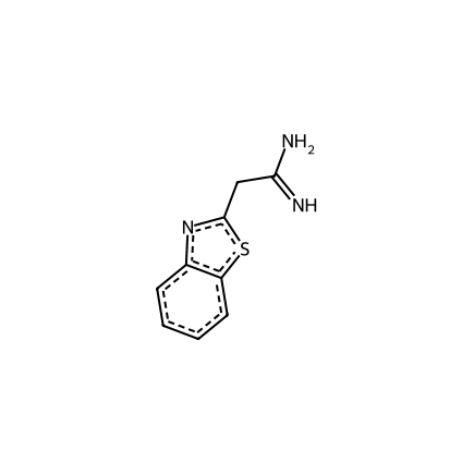 N=C(N)Cc1nc2ccccc2s1